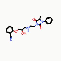 CC1C(=O)N(CCNCC(O)COc2ccccc2C#N)C(=O)N1c1ccccc1